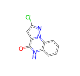 O=c1[nH]c2ccccc2n2nc(Cl)cc12